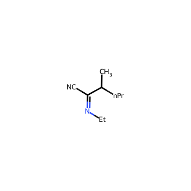 CCCC(C)/C(C#N)=N\CC